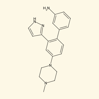 CN1CCN(c2ccc(-c3cccc(N)c3)c(-c3cc[nH]n3)c2)CC1